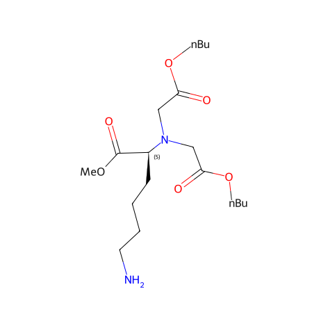 CCCCOC(=O)CN(CC(=O)OCCCC)[C@@H](CCCCN)C(=O)OC